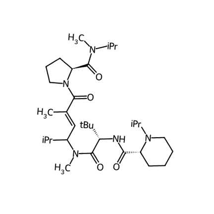 C/C(=C\C(C(C)C)N(C)C(=O)[C@@H](NC(=O)[C@H]1CCCCN1C(C)C)C(C)(C)C)C(=O)N1CCC[C@H]1C(=O)N(C)C(C)C